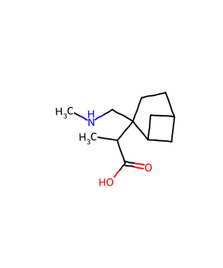 CNCC1(C(C)C(=O)O)CCC2CC1C2